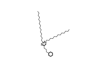 CCCCCCCCCCCCCCCc1nc(CCCc2ccccc2)cn1CCCCCCCCCCCCC